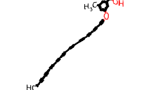 C#CC#CC#CC#CC#CC#CC#CC#CC#CC#CC#COc1cc(C)cc(CO)c1